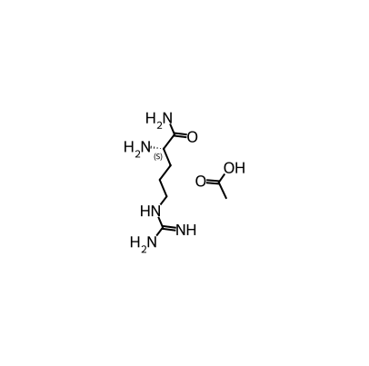 CC(=O)O.N=C(N)NCCC[C@H](N)C(N)=O